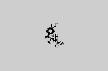 CCN(CCNC(=O)OC)[C@@H](C)c1ccc(OC)cc1